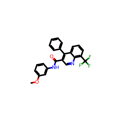 COc1cccc(NC(=O)c2cnc3c(C(F)(F)F)cccc3c2-c2ccccc2)c1